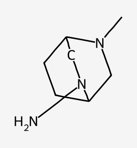 CN1CC2CCC1CN2N